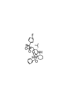 CC(C)C[C@H](NC(=O)C1(NC(=O)c2ccccc2)CCCCC1)C(=O)Cn1c(-c2ccc(F)cc2)noc1=O